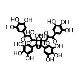 O=C(C(=O)C(O)C(O)(C(=O)c1cc(O)c(O)c(O)c1)C(O)(C(=O)c1cc(O)c(O)c(O)c1)C(O)C(O)C(=O)c1cc(O)c(O)c(O)c1)c1cc(O)c(O)c(O)c1